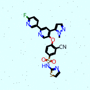 Cn1nccc1-c1cc(-c2ccc(F)nc2)ncc1Oc1ccc(S(=O)(=O)Nc2nccs2)cc1C#N